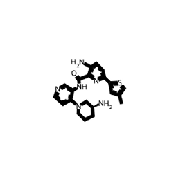 Cc1csc(-c2ccc(N)c(C(=O)Nc3cnccc3N3CCC[C@H](N)C3)n2)c1